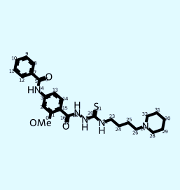 COc1cc(NC(=O)c2ccccc2)ccc1C(=O)NNC(=S)NCCCCN1CCCCC1